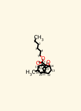 CCCCCCOC(=O)C12CCCCC1(c1ccc(C)cc1)O2